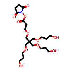 O=C(CCOCC(COCCCO)(COCCCO)COCCCO)ON1C(=O)CCC1=O